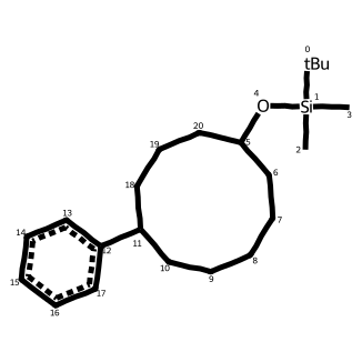 CC(C)(C)[Si](C)(C)OC1CCCCCC(c2ccccc2)CCC1